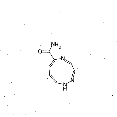 NC(=O)c1ccc[nH]nccn1